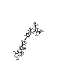 COC(=O)N[C@H](C(=O)N1CCC[C@H]1c1ncc(-c2ccc(C#Cc3ccc(-c4cnc([C@@H]5CN(C(C)=O)CN5C(=O)[C@@H](NC(=O)OC)C(C)C)[nH]4)cc3)cc2)[nH]1)C(C)C